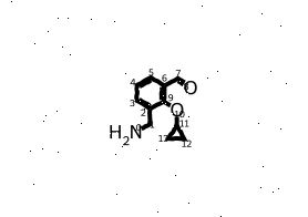 NCc1cccc(C=O)c1OC1CC1